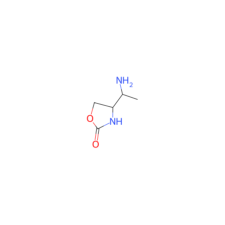 CC(N)C1COC(=O)N1